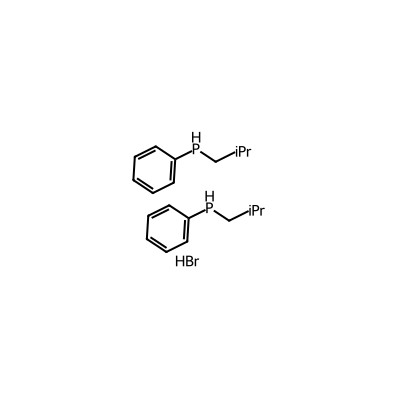 Br.CC(C)CPc1ccccc1.CC(C)CPc1ccccc1